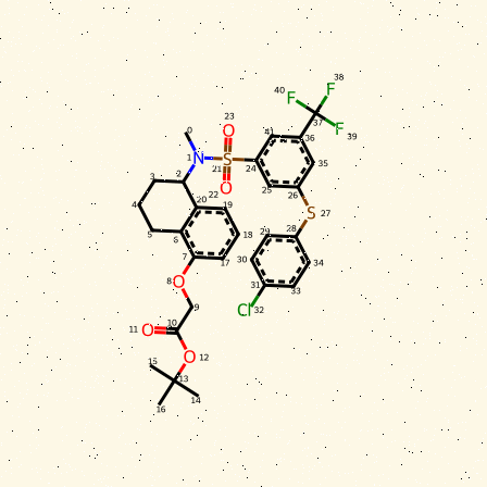 CN(C1CCCc2c(OCC(=O)OC(C)(C)C)cccc21)S(=O)(=O)c1cc(Sc2ccc(Cl)cc2)cc(C(F)(F)F)c1